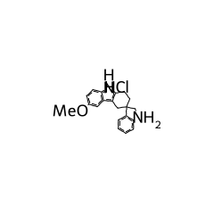 COc1ccc2[nH]c3c(c2c1)CC(CN)(c1ccccc1)CC3.Cl